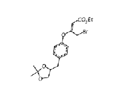 CCOC(=O)C=C(CBr)Oc1ccc(CC2COC(C)(C)O2)cc1